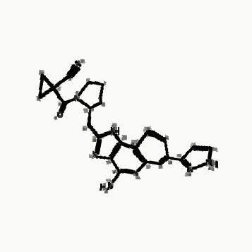 N#CC1(C(=O)N2CCC[C@H]2Cc2nc3c(N)nc4cc(-c5cc[nH]n5)ccc4c3[nH]2)CC1